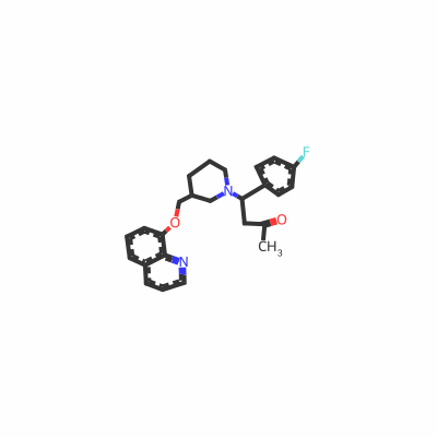 CC(=O)CC(c1ccc(F)cc1)N1CCCC(COc2cccc3cccnc23)C1